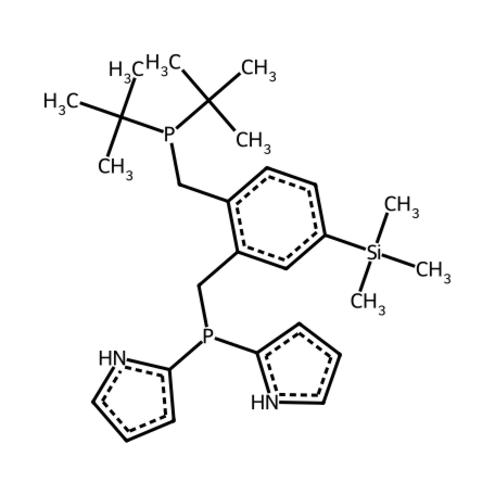 CC(C)(C)P(Cc1ccc([Si](C)(C)C)cc1CP(c1ccc[nH]1)c1ccc[nH]1)C(C)(C)C